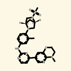 Cc1cc(Nc2nccc(-c3cnc4c(c3)OCCN4C)n2)ccc1N1C[C@@H]2C[C@H]1CN2S(C)(=O)=O